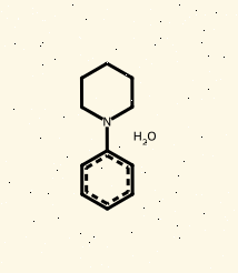 O.c1ccc(N2CCCCC2)cc1